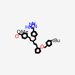 COC(=O)c1ccc(CCC(C=Cc2ccccc2OCc2ccc(C(C)(C)C)cc2)Cc2ccc(-c3nnn[nH]3)cc2)cc1